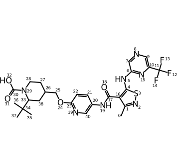 Cc1nsc(Nc2cncc(C(F)(F)F)n2)c1C(=O)Nc1ccc(OCC2CCN(C(=O)O)C(C(C)(C)C)C2)nc1